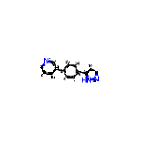 c1cncc(-c2ccc(-c3ccn[nH]3)cc2)c1